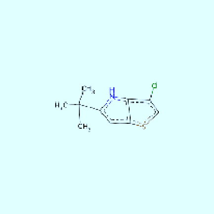 CC(C)(C)c1cc2scc(Cl)c2[nH]1